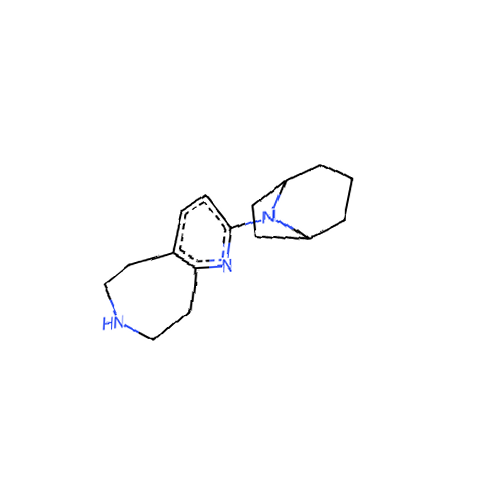 c1cc2c(nc1N1C3CCCC1CC3)CCNCC2